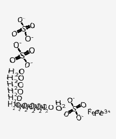 O.O.O.O.O.O.O.O.O.O.O.O.O=S(=O)([O-])[O-].O=S(=O)([O-])[O-].O=S(=O)([O-])[O-].[Fe+3].[Fe+3]